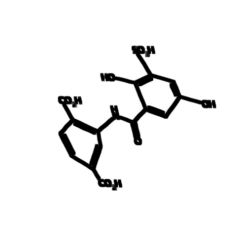 O=C(O)c1ccc(C(=O)O)c(NC(=O)c2cc(O)cc(S(=O)(=O)O)c2O)c1